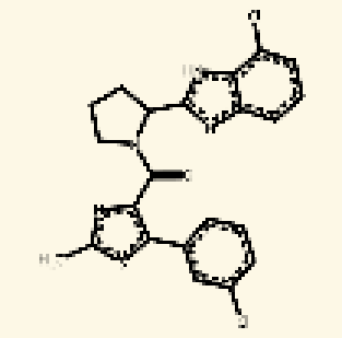 Cc1nc(C(=O)N2CCCC2c2nc3cccc(Cl)c3[nH]2)c(-c2cccc(Cl)c2)s1